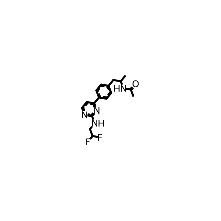 CC(=O)NC(C)Cc1ccc(-c2ccnc(NCC(F)F)n2)cc1